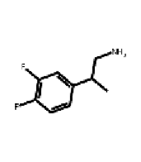 CC(CN)c1ccc(F)c(F)c1